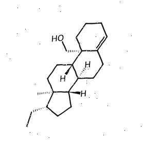 CC[C@H]1CC[C@H]2[C@@H]3CCC4=CCCC[C@]4(CO)[C@H]3CC[C@]12C